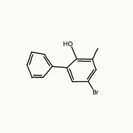 Cc1cc(Br)cc(-c2ccccc2)c1O